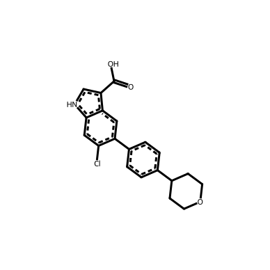 O=C(O)c1c[nH]c2cc(Cl)c(-c3ccc(C4CCOCC4)cc3)cc12